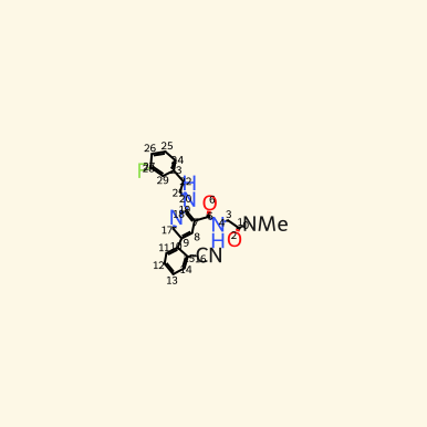 CNC(=O)CNC(=O)c1cc(-c2ccccc2C#N)cnc1NCCc1cccc(F)c1